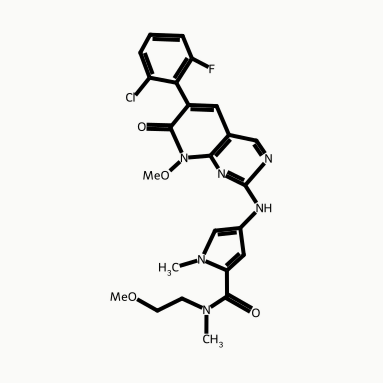 COCCN(C)C(=O)c1cc(Nc2ncc3cc(-c4c(F)cccc4Cl)c(=O)n(OC)c3n2)cn1C